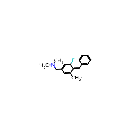 [CH2]C1=CC(CN(C)C)=CC(F)C1=Cc1ccccc1